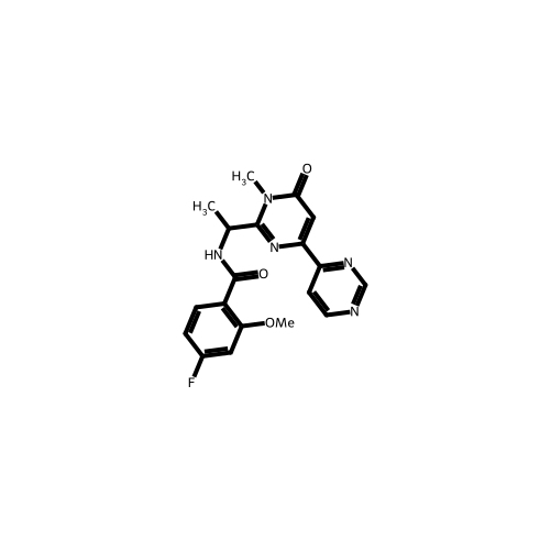 COc1cc(F)ccc1C(=O)NC(C)c1nc(-c2ccncn2)cc(=O)n1C